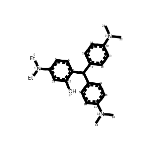 CCN(CC)c1ccc(C(c2ccc(N(C)C)cc2)c2ccc(N(C)C)cc2)c(O)c1